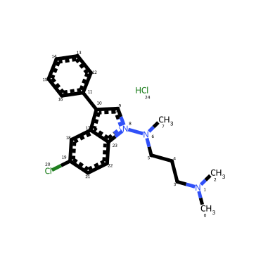 CN(C)CCCN(C)n1cc(-c2ccccc2)c2cc(Cl)ccc21.Cl